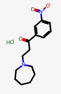 Cl.O=C(CCN1CCCCCC1)c1cccc([N+](=O)[O-])c1